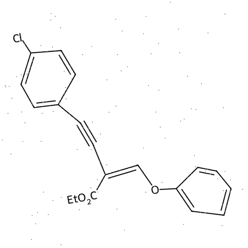 CCOC(=O)C(C#Cc1ccc(Cl)cc1)=COc1ccccc1